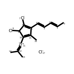 CC=CC=CC1=C(Cl)C(Cl)[C]([Zr+]=[C](C)C)=C1C.[Cl-]